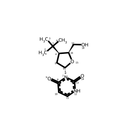 CC(C)(C)[C@@H]1C[C@@H](n2c(=O)cc[nH]c2=O)O[C@@H]1CO